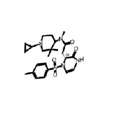 Cc1ccc(S(=O)(=O)N2C=CNC(=O)[C@H]2CC(=O)N(C)C2CCN(C3CC3)CC2(C)C)cc1